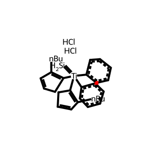 CCCCC1=[C]([Ti](=[SiH2])([C]2=C(CCCC)C=CC2)([c]2ccccc2)[c]2ccccc2)CC=C1.Cl.Cl